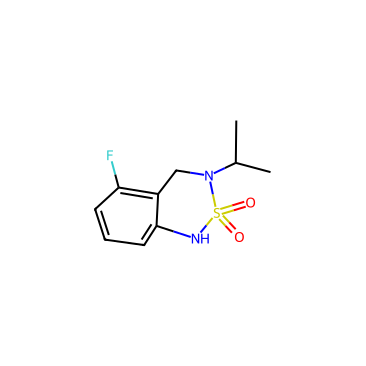 CC(C)N1Cc2c(F)cccc2NS1(=O)=O